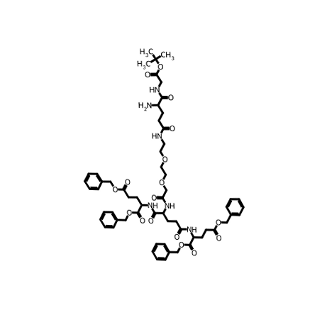 CC(C)(C)OC(=O)CNC(=O)C(N)CCC(=O)NCCOCCOCC(=O)NC(CCC(=O)NC(CCC(=O)OCc1ccccc1)C(=O)OCc1ccccc1)C(=O)NC(CCC(=O)OCc1ccccc1)C(=O)OCc1ccccc1